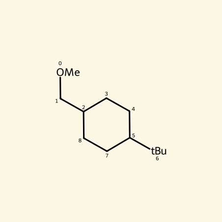 COCC1CCC(C(C)(C)C)CC1